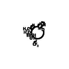 CCN1C(=O)N[C@@H](CCC(F)(F)F)CCCCCOc2nc(cn3ccnc23)-c2cc(c(C)cn2)C1C